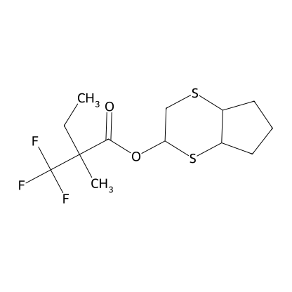 CCC(C)(C(=O)OC1CSC2CCCC2S1)C(F)(F)F